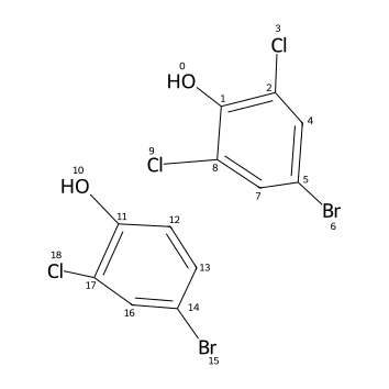 Oc1c(Cl)cc(Br)cc1Cl.Oc1ccc(Br)cc1Cl